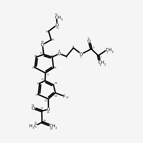 C=C(C)C(=O)OCCOc1cc(-c2ccc(OC(=O)C(=C)C)c(F)c2)ccc1OCCOC